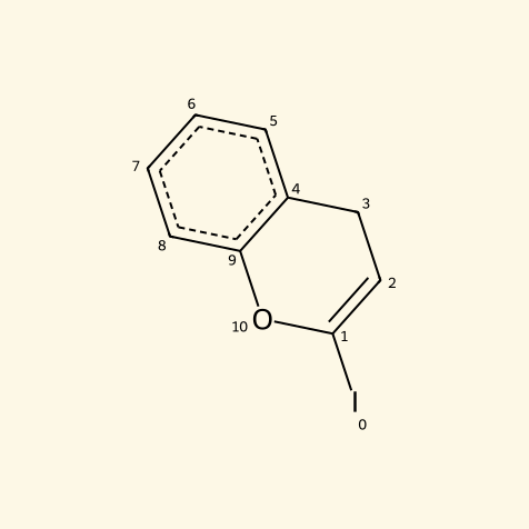 IC1=CCc2ccccc2O1